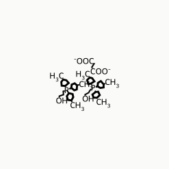 Cc1ccc([P+](CCCO)(c2ccc(C)cc2)c2ccc(C)cc2)cc1.Cc1ccc([P+](CCCO)(c2ccc(C)cc2)c2ccc(C)cc2)cc1.O=C([O-])CCC(=O)[O-]